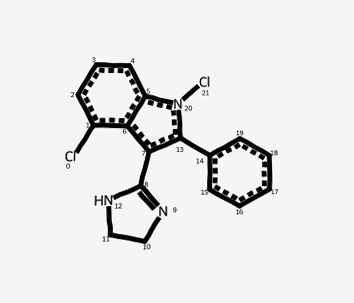 Clc1cccc2c1c(C1=NCCN1)c(-c1ccccc1)n2Cl